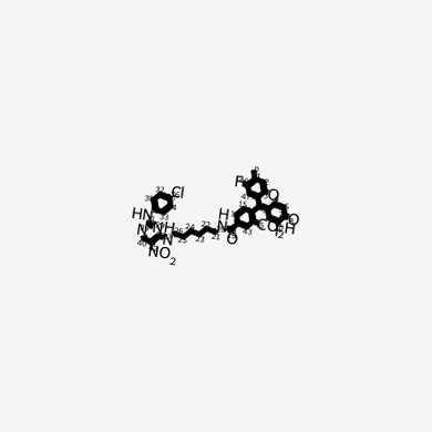 Cc1cc2oc3cc(=O)c(F)cc-3c(-c3ccc(C(=O)NCCCCCCNc4nc(Nc5ccc(Cl)cc5)ncc4[N+](=O)[O-])cc3C(=O)O)c2cc1F